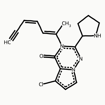 C#C/C=C\C=C(/C)n1c(C2CCCN2)nn2ccc(Cl)c2c1=O